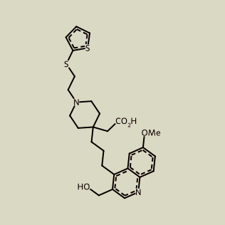 COc1ccc2ncc(CO)c(CCCC3(CC(=O)O)CCN(CCSc4cccs4)CC3)c2c1